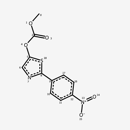 COC(=O)Oc1cnc(-c2ccc([N+](=O)[O-])cc2)s1